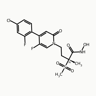 C[C@@](CCn1cc(F)c(-c2ccc(Cl)cc2F)cc1=O)(C(=O)NO)S(C)(=O)=O